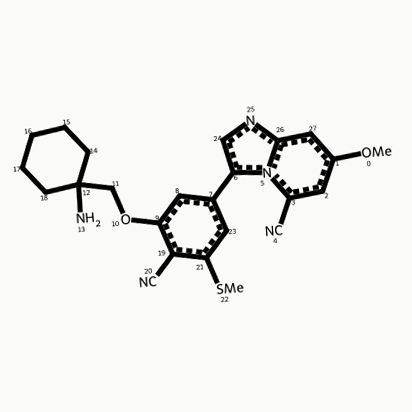 COc1cc(C#N)n2c(-c3cc(OCC4(N)CCCCC4)c(C#N)c(SC)c3)cnc2c1